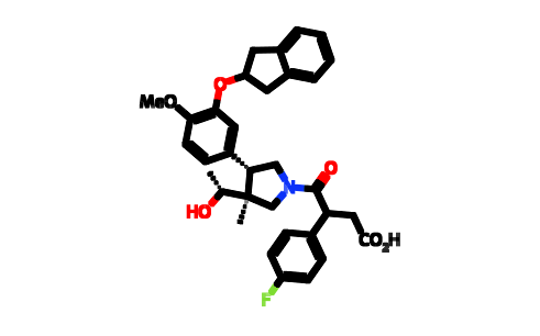 COc1ccc([C@@H]2CN(C(=O)C(CC(=O)O)c3ccc(F)cc3)C[C@@]2(C)[C@@H](C)O)cc1OC1Cc2ccccc2C1